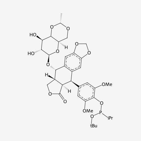 COc1cc([C@@H]2c3cc4c(cc3[C@@H](O[C@@H]3O[C@@H]5CO[C@@H](C)OC5[C@H](O)[C@H]3O)[C@H]3COC(=O)[C@H]23)OCO4)cc(OC)c1OP(OC(C)(C)C)C(C)C